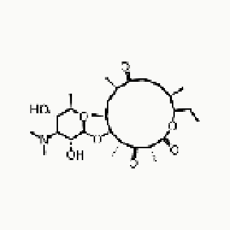 CCC1OC(=O)[C@H](C)C(=O)[C@H](C)[C@@H](O[C@@H]2O[C@H](C)[C@@H](O)[C@H](N(C)C)[C@H]2O)[C@@H](C)C[C@@H](C)C(=O)CC[C@H]1C